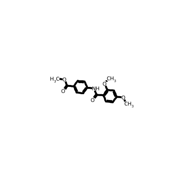 COC(=O)c1ccc(NC(=O)c2ccc(OC)cc2OC)cc1